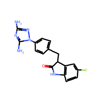 Nc1nc(N)n(-c2ccc(CC3C(=O)Nc4ccc(F)cc43)cc2)n1